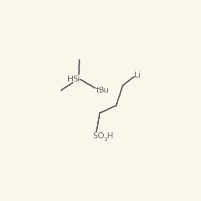 C[SiH](C)C(C)(C)C.[Li][CH2]CCS(=O)(=O)O